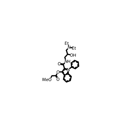 CCN(CC)CC(O)CNC(=O)c1c(OC(=O)COC)c2ccccc2n1-c1ccccc1